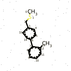 CSCc1ccc(-c2ccccc2C)cc1